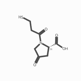 O=C1C[C@@H](C(=O)O)N(C(=O)CCS)C1